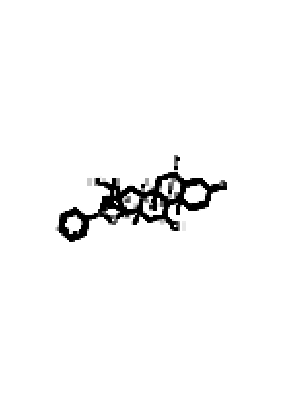 C[C@]12C=CC(=O)C=C1[C@@H](F)C[C@H]1[C@@H]3C[C@H]4CN(c5cc[c]cc5)O[C@@]4(C(=O)CO)[C@@]3(C)C[C@H](O)[C@@]12F